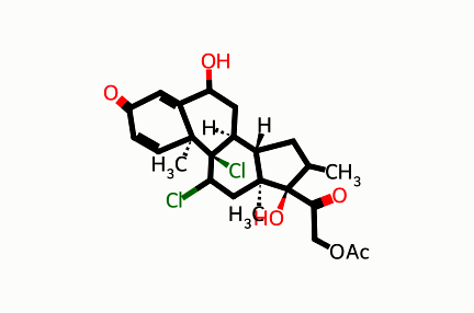 CC(=O)OCC(=O)[C@@]1(O)C(C)C[C@H]2[C@@H]3CC(O)C4=CC(=O)C=C[C@]4(C)[C@@]3(Cl)C(Cl)C[C@@]21C